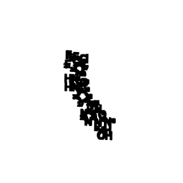 CNC(=O)N(CCO)c1ncnc2c1ncn2-c1ccc(NC(=O)Nc2ccc(Cl)c(C(F)(F)F)c2)cc1